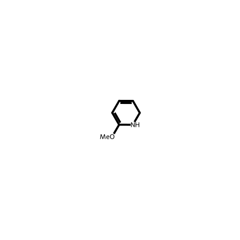 COC1=CC=CCN1